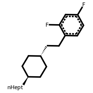 CCCCCCC[C@H]1CC[C@H](CCc2ccc(F)cc2F)CC1